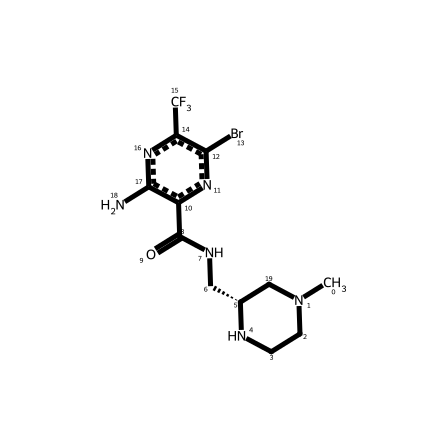 CN1CCN[C@H](CNC(=O)c2nc(Br)c(C(F)(F)F)nc2N)C1